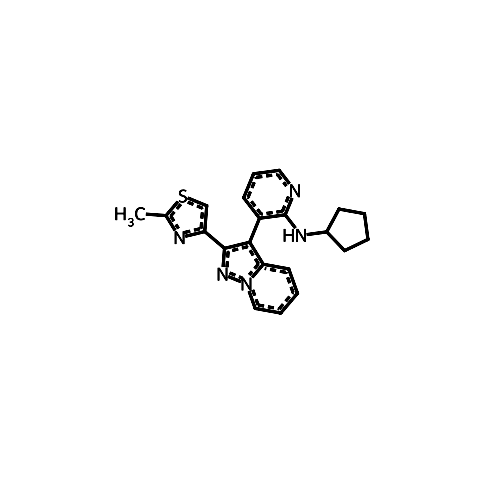 Cc1nc(-c2nn3ccccc3c2-c2cccnc2NC2CCCC2)cs1